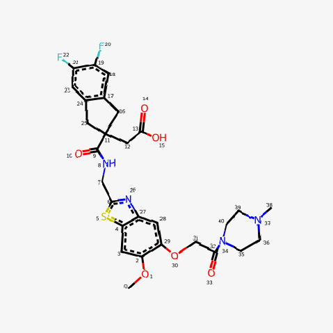 COc1cc2sc(CNC(=O)C3(CC(=O)O)Cc4cc(F)c(F)cc4C3)nc2cc1OCC(=O)N1CCN(C)CC1